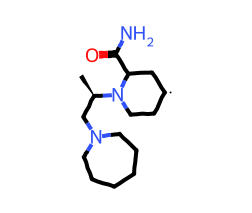 C[C@H](CN1CCCCCC1)N1CC[CH]CC1C(N)=O